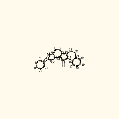 c1ccc(-c2nc3ccc4c5c([nH]c4c3o2)-c2ccccc2CC5)cc1